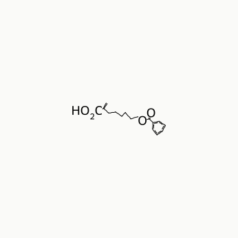 C=C(CCCCCCOC(=O)c1ccccc1)C(=O)O